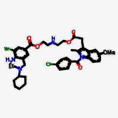 CCN(Cc1cc(C(=O)OCCNCCOC(=O)Cc2c(C)n(C(=O)c3ccc(Cl)cc3)c3ccc(OC)cc23)cc(Br)c1N)C1CCCCC1